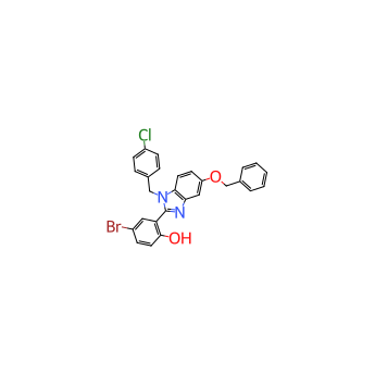 Oc1ccc(Br)cc1-c1nc2cc(OCc3ccccc3)ccc2n1Cc1ccc(Cl)cc1